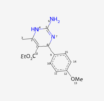 CCOC(=O)C1=C(C)NC(N)=NC1c1ccc(OC)cc1